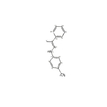 C/C(=N\Nc1ccc(C#N)cc1)c1ccccc1